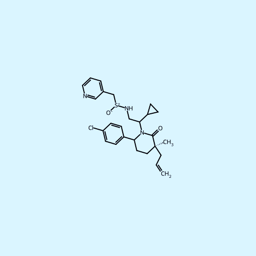 C=CC[C@@]1(C)CCC(c2ccc(Cl)cc2)N(C(CN[S+]([O-])Cc2cccnc2)C2CC2)C1=O